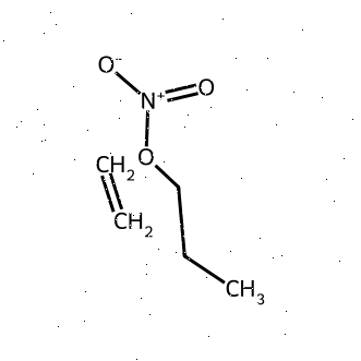 C=C.CCCO[N+](=O)[O-]